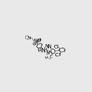 Cc1cc(-c2c(Cl)cccc2Cl)cc2nnc(Nc3ccc(S(=O)(=O)NCCN4CCCC4)cc3)nc12